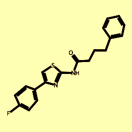 O=C(CCCc1ccccc1)Nc1nc(-c2ccc(F)cc2)cs1